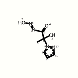 CC(C#N)(C(=O)N=NO)n1cccn1